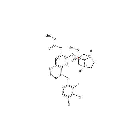 CC(C)(C)OC(=O)Oc1cc2ncnc(Nc3ccc(Cl)c(Cl)c3F)c2cc1O[C@@H]1C[C@H]2CC[C@@H](C1)N2C(=O)OC(C)(C)C